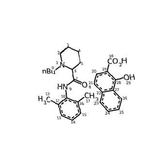 CCCCN1CCCCC1C(=O)Nc1c(C)cccc1C.O=C(O)c1ccc2ccccc2c1O